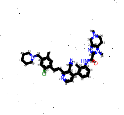 Cc1cc(/C=C/c2nccc(-c3cccc(NC(=O)c4nc5c(n4C)CCN(C)C5)c3C)c2C#N)c(Cl)cc1CN1CCCCC1